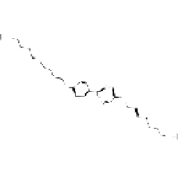 CCCCC/C=C/COc1cnc(-c2ccc(OCCCCOCCCCC)cc2)nc1